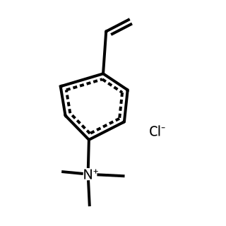 C=Cc1ccc([N+](C)(C)C)cc1.[Cl-]